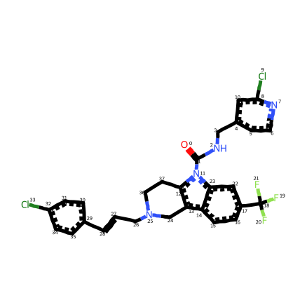 O=C(NCc1ccnc(Cl)c1)n1c2c(c3ccc(C(F)(F)F)cc31)CN(CC=Cc1ccc(Cl)cc1)CC2